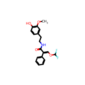 COc1cc(CCNC(=O)C(=COC(F)F)c2ccccc2)ccc1O